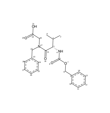 CC(C)[C@H](NC(=O)OCc1ccccc1)C(=O)N(CC(=O)O)Cc1ccccc1